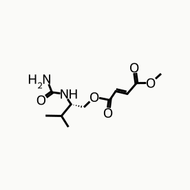 COC(=O)/C=C/C(=O)OC[C@@H](NC(N)=O)C(C)C